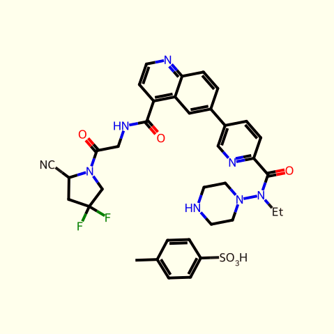 CCN(C(=O)c1ccc(-c2ccc3nccc(C(=O)NCC(=O)N4CC(F)(F)CC4C#N)c3c2)cn1)N1CCNCC1.Cc1ccc(S(=O)(=O)O)cc1